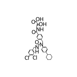 O=C(NC[C@@H](O)C(=O)O)c1ccc(CN(C(=O)NCc2ccc(Cl)c(Cl)c2)c2ccc(C3CCCCC3)cc2)cc1